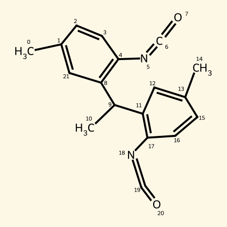 Cc1ccc(N=C=O)c(C(C)c2cc(C)ccc2N=C=O)c1